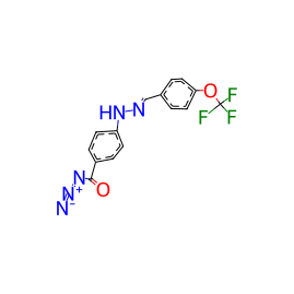 [N-]=[N+]=NC(=O)c1ccc(NN=Cc2ccc(OC(F)(F)F)cc2)cc1